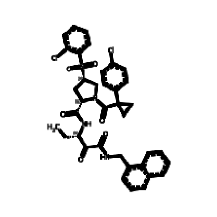 CC[C@H](NC(=O)[C@@H]1C[C@@H](S(=O)(=O)c2ccccc2Cl)CN1C(=O)C1(c2ccc(Cl)cc2)CC1)C(=O)C(=O)NCc1cccc2ccccc12